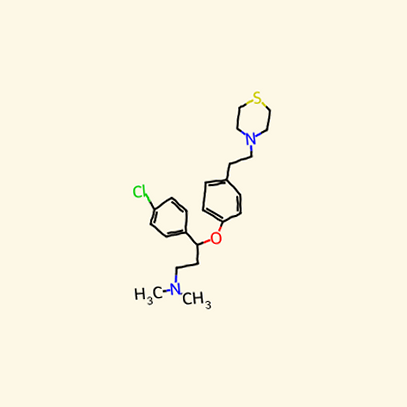 CN(C)CCC(Oc1ccc(CCN2CCSCC2)cc1)c1ccc(Cl)cc1